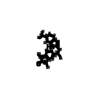 CC(C)c1ccc2nc(CC(C)c3ccc4c(c3)n(C)c(=O)n4C)[nH]c2c1